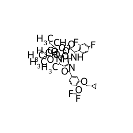 CCC(C)(C)C(=O)OOC(=O)C(NC(=O)c1nc(-c2ccc(OC(F)F)c(OCC3CC3)c2)oc1C(C)NC(=O)OC(C)(C)C)c1ccc(F)cc1F